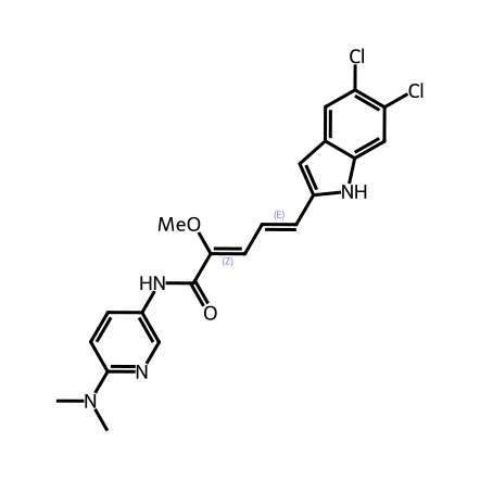 CO/C(=C\C=C\c1cc2cc(Cl)c(Cl)cc2[nH]1)C(=O)Nc1ccc(N(C)C)nc1